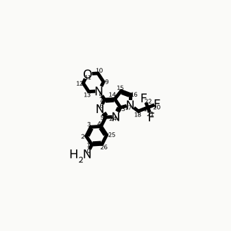 Nc1ccc(-c2nc(N3CCOCC3)c3ccn(CC(F)(F)F)c3n2)cc1